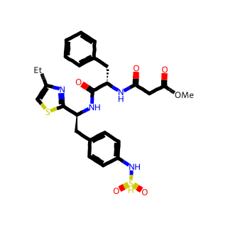 CCc1csc([C@H](Cc2ccc(N[SH](=O)=O)cc2)NC(=O)[C@H](Cc2ccccc2)NC(=O)CC(=O)OC)n1